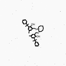 Cc1cc(CS[C@H]2CCCCCC[C@@H]2SCc2cc(C)cc(C(C)(C)c3ccccc3)c2O)c(O)c(C(C)(C)c2ccccc2)c1